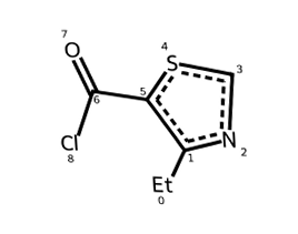 CCc1ncsc1C(=O)Cl